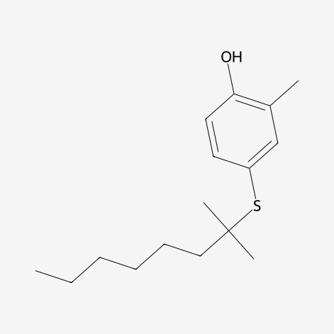 CCCCCCC(C)(C)Sc1ccc(O)c(C)c1